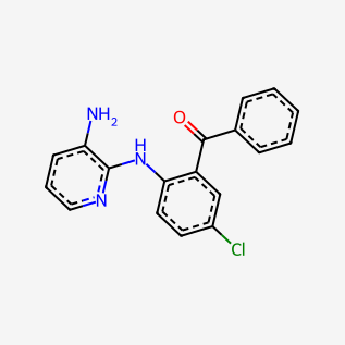 Nc1cccnc1Nc1ccc(Cl)cc1C(=O)c1ccccc1